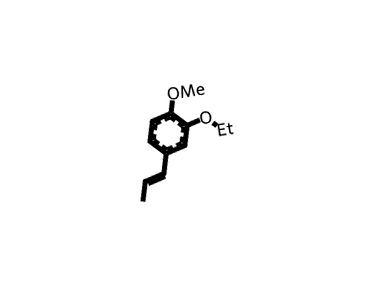 CC=Cc1ccc(OC)c(OCC)c1